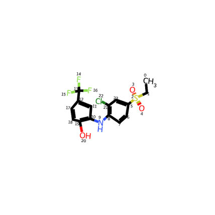 CCS(=O)(=O)c1ccc(Nc2cc(C(F)(F)F)ccc2O)c(Cl)c1